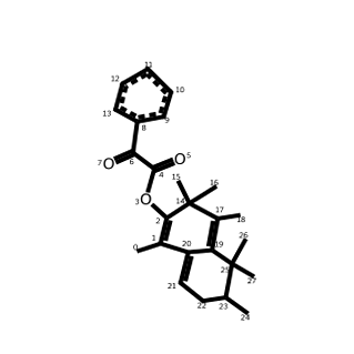 CC1=C(OC(=O)C(=O)c2ccccc2)C(C)(C)C(C)=C2C1=CCC(C)C2(C)C